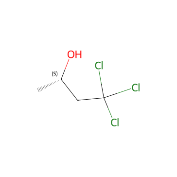 C[C@H](O)CC(Cl)(Cl)Cl